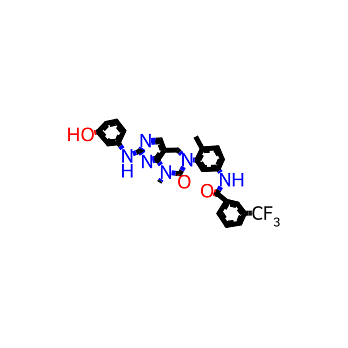 Cc1ccc(NC(=O)c2cccc(C(F)(F)F)c2)cc1N1Cc2cnc(Nc3cccc(O)c3)nc2N(C)C1=O